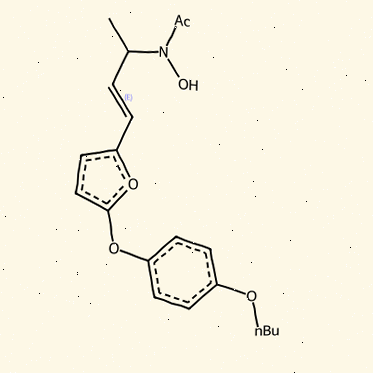 CCCCOc1ccc(Oc2ccc(/C=C/C(C)N(O)C(C)=O)o2)cc1